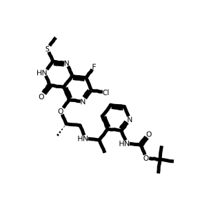 CSc1nc2c(F)c(Cl)nc(O[C@@H](C)CNC(C)c3cccnc3NC(=O)OC(C)(C)C)c2c(=O)[nH]1